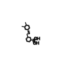 Cc1ccc(SCc2cccc(B(O)O)c2)cc1C